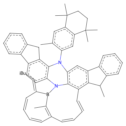 CCC(C)\C=C1/C=C\C=C/C2=C(C)B1N1c3ccc4c(c3N(c3cc5c(cc3C)C(C)(C)CCC5(C)C)c3cc5c(c(c31)/C=C/C=C\2)C(C)c1ccccc1-5)Cc1ccccc1-4